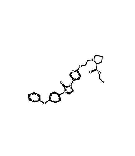 CCOC(=O)C1CCCN1CCOc1ccc(-n2ccn(-c3ccc(Oc4ccccc4)cc3)c2=O)cc1